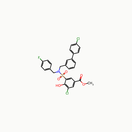 COC(=O)c1cc(Cl)c(O)c(S(=O)(=O)N(Cc2ccc(F)cc2)Cc2cccc(-c3ccc(Cl)cc3)c2)c1